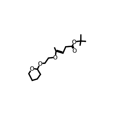 C/C(=C\CC(=O)OC(C)(C)C)OCCOC1CCCCO1